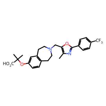 Cc1nc(-c2ccc(C(F)(F)F)cc2)oc1CN1CCc2ccc(OC(C)(C)C(=O)O)cc2CC1